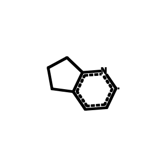 [c]1ccc2c(n1)CCC2